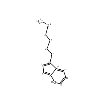 [CH2]OCCCCc1ccc2occcc1-2